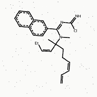 C=C/C=C\CCC(C)(/C=C\CC)N(C)/C(=N\C(=N)Cl)c1ccc2ccccc2c1